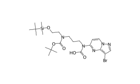 CC(C)(C)OC(=O)N(CCCN(C(=O)O)c1ccn2ncc(Br)c2n1)CCO[Si](C)(C)C(C)(C)C